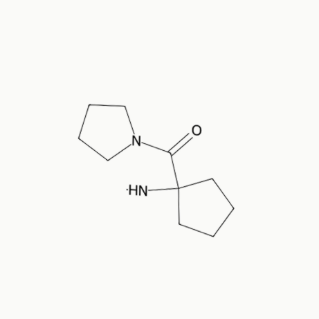 [NH]C1(C(=O)N2CCCC2)CCCC1